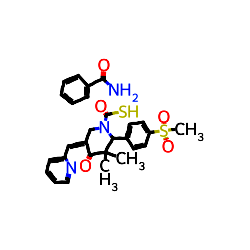 CC1(C)C(=O)/C(=C\c2ccccn2)CN(C(=O)S)C1c1ccc(S(C)(=O)=O)cc1.NC(=O)c1ccccc1